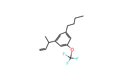 C=C[C](C)c1cc(CCCC)cc(OC(F)(F)F)c1